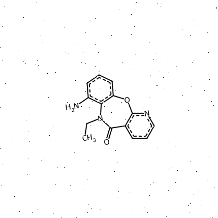 CCN1C(=O)c2cccnc2Oc2cccc(N)c21